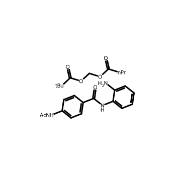 CC(=O)Nc1ccc(C(=O)Nc2ccccc2N)cc1.CCCC(=O)OCOC(=O)C(C)(C)C